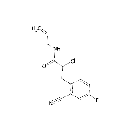 C=CCNC(=O)C(Cl)Cc1c[c]c(F)cc1C#N